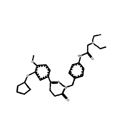 CCN(CC)CC(=O)Nc1ccc(CN2N=C(c3ccc(OC)c(OC4CCCC4)c3)CCC2=O)cc1